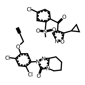 C#CCOc1cc(-n2nc3n(c2=O)CCCC3)c(Cl)cc1Cl.CS(=O)(=O)c1cc(Cl)ccc1C(=O)c1cnoc1C1CC1